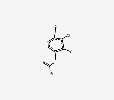 CC(C)C(=O)Oc1ccc(Cl)c(Cl)c1Cl